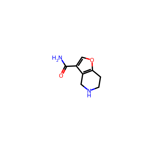 NC(=O)c1coc2c1CNCC2